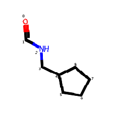 O=CNCC1CCCC1